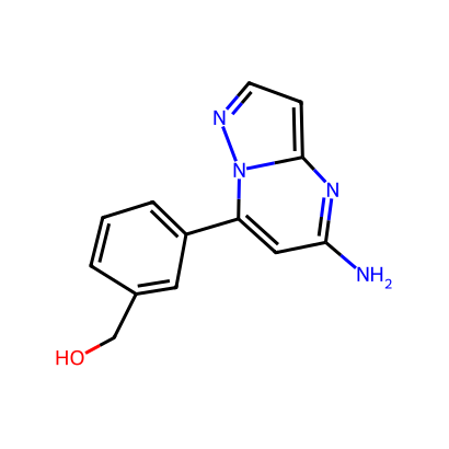 Nc1cc(-c2cccc(CO)c2)n2nccc2n1